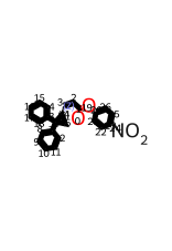 O=C(/C=C\[C@@H]1CC1(c1ccccc1)c1ccccc1)Oc1ccc([N+](=O)[O-])cc1